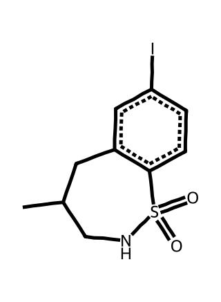 CC1CNS(=O)(=O)c2ccc(I)cc2C1